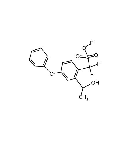 CC(O)c1cc(Oc2ccccc2)ccc1C(F)(F)S(=O)(=O)OF